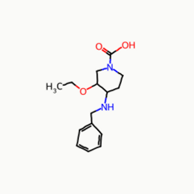 CCOC1CN(C(=O)O)CCC1NCc1ccccc1